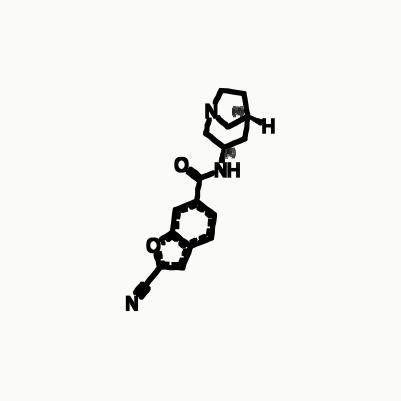 N#Cc1cc2ccc(C(=O)N[C@@H]3C[C@H]4CCN(C4)C3)cc2o1